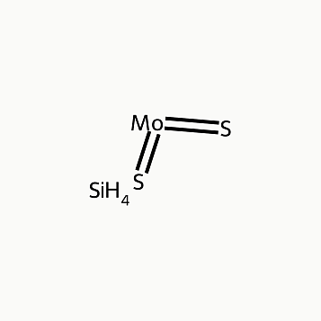 [S]=[Mo]=[S].[SiH4]